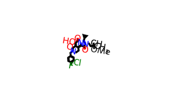 COC(C)(C)CCN1C(=O)c2c3c(c(O)c(=O)n2C1C1CC1)C(=O)N(Cc1ccc(F)c(Cl)c1)CC3